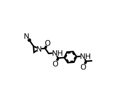 CC(=O)Nc1ccc(C(=O)NCC(=O)N2CC2C#N)cc1